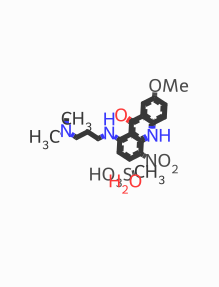 COc1ccc2[nH]c3c([N+](=O)[O-])ccc(NCCCN(C)C)c3c(=O)c2c1.CS(=O)(=O)O.O